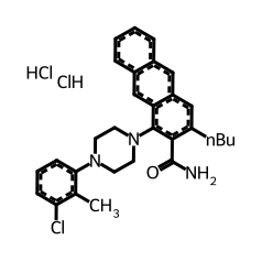 CCCCc1cc2cc3ccccc3cc2c(N2CCN(c3cccc(Cl)c3C)CC2)c1C(N)=O.Cl.Cl